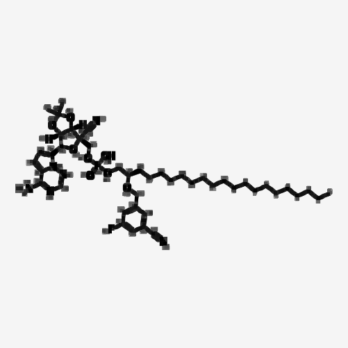 CCCCCCCCCCCCCCCCCCC[C@H](COP(=O)(O)OC[C@@]1(C#N)O[C@@H](c2ccc3c(N)ncnn23)[C@@H]2OC(C)(C)O[C@@H]21)OCc1cc(F)cc(C#N)c1